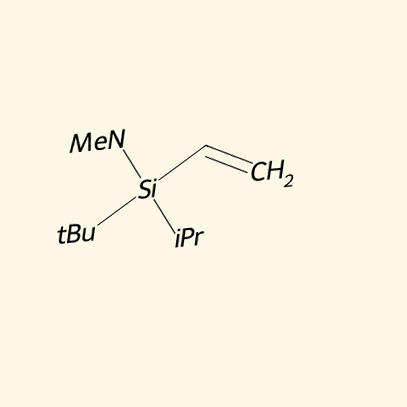 C=C[Si](NC)(C(C)C)C(C)(C)C